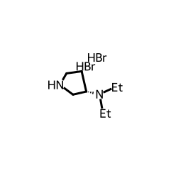 Br.Br.CCN(CC)[C@H]1CCNC1